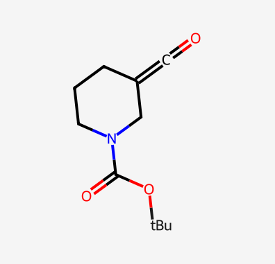 CC(C)(C)OC(=O)N1CCCC(=C=O)C1